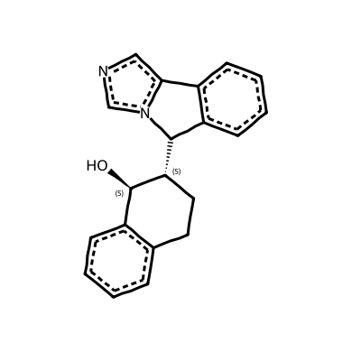 O[C@@H]1c2ccccc2CC[C@H]1C1c2ccccc2-c2cncn21